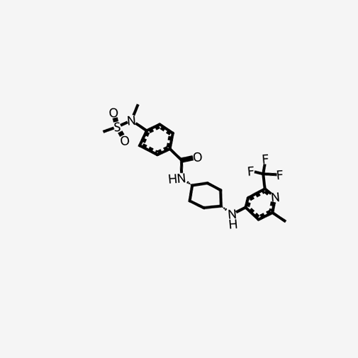 Cc1cc(N[C@H]2CC[C@@H](NC(=O)c3ccc(N(C)S(C)(=O)=O)cc3)CC2)cc(C(F)(F)F)n1